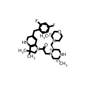 C[C@@H]1CN(CC(=O)N2CC(C)(C)C3=C2C=C(Cc2ccc(F)cc2F)CN3)[C@@H](CN2CCOC[C@H]2C)CN1